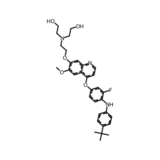 COc1cc2c(Oc3ccc(Nc4ccc(C(C)(C)C)cc4)c(F)c3)ccnc2cc1OCCN(CCO)CCO